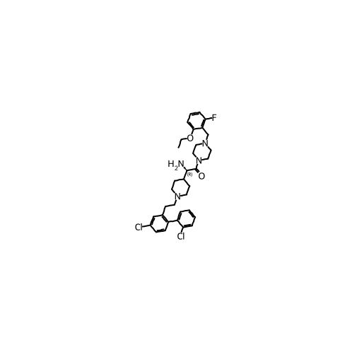 CCOc1cccc(F)c1CN1CCN(C(=O)[C@H](N)C2CCN(CCc3cc(Cl)ccc3-c3ccccc3Cl)CC2)CC1